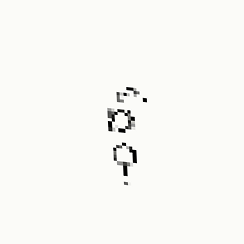 CSc1ncc(-c2ccc(Cl)cc2)nn1